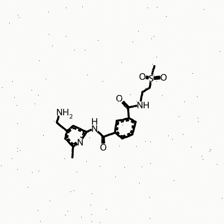 Cc1cc(CN)cc(NC(=O)c2cccc(C(=O)NCCS(C)(=O)=O)c2)n1